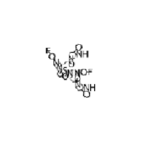 O=C(CCC1CN(c2ccc(F)cc2)CCN1C(=O)SC(=O)N1CCN(c2ccc(F)cc2)CC1CCC(=O)N1CCc2c([nH]c3ccccc23)C1)N1CCc2c([nH]c3ccccc23)C1